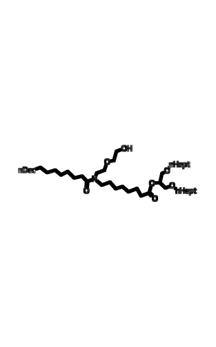 CCCCCCCCCCCCCCCCCC(=O)N(CCCCCCCC(=O)OC(COCCCCCCC)COCCCCCCC)CCOCCO